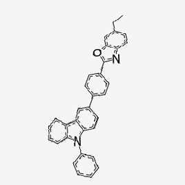 CCc1ccc2nc(-c3ccc(-c4ccc5c(c4)c4ccccc4n5-c4ccccc4)cc3)oc2c1